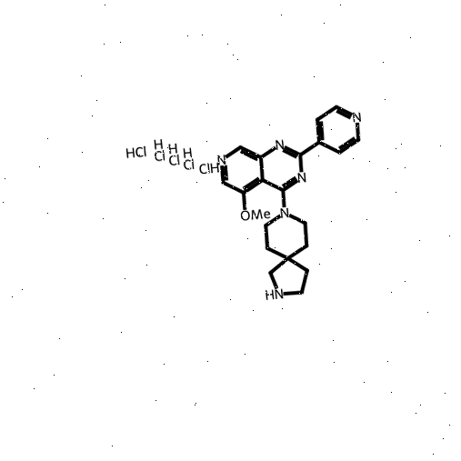 COc1cncc2nc(-c3ccncc3)nc(N3CCC4(CCNC4)CC3)c12.Cl.Cl.Cl.Cl.Cl